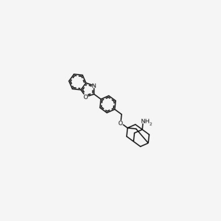 NC12CC3CC(C1)CC(OCc1ccc(-c4nc5ccccc5o4)cc1)(C3)C2